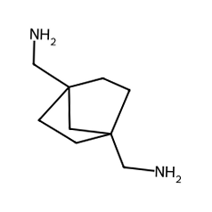 NCC12CCC(CN)(CC1)C2